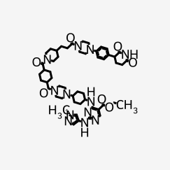 CCOC(=O)c1cnc(Nc2cnn(C)c2)nc1NC1CCC(N2CCN(C(=O)C3CCC(C(=O)N4CCC(CCC(=O)N5CCN(c6ccc(C7CCC(=O)NC7=O)cc6)CC5)CC4)CC3)CC2)CC1